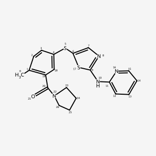 Cc1ccc(Sc2cnc(Nc3ccccn3)s2)cc1C(=O)N1CCCC1